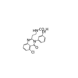 CCc1cccc(-n2c(CCNC(=O)O)nc3cccc(Cl)c3c2=O)c1